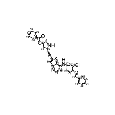 O=C(OC1CNC(C#Cc2cc3ncnc(Nc4ccc(OCc5ccccn5)c(Cl)c4)c3s2)C1)N1CCOCC1